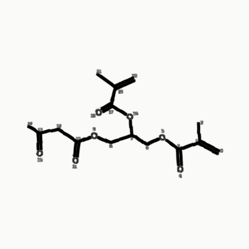 C=C(C)C(=O)OCC(COC(=O)CC(C)=O)OC(=O)C(=C)C